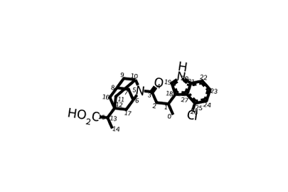 CC(CC(=O)N1C2CC3CC1CC(C(C)C(=O)O)(C3)C2)c1c[nH]c2cccc(Cl)c12